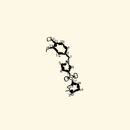 O=S(=O)(c1ccn(Cc2ccc(Cl)c(F)c2)c1)c1cccs1